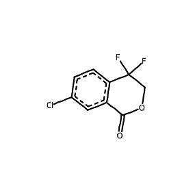 O=C1OCC(F)(F)c2ccc(Cl)cc21